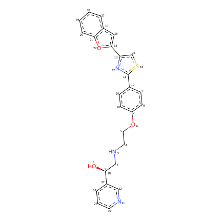 O[C@@H](CNCCOc1ccc(-c2nc(-c3cc4ccccc4o3)cs2)cc1)c1cccnc1